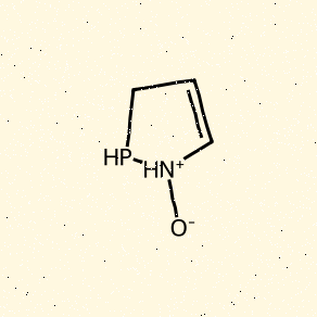 [O-][NH+]1C=CCP1